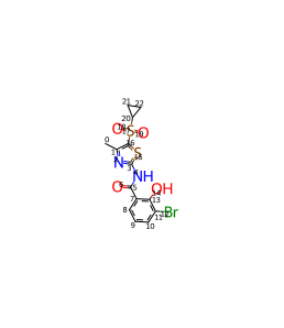 Cc1nc(NC(=O)c2cccc(Br)c2O)sc1S(=O)(=O)C1CC1